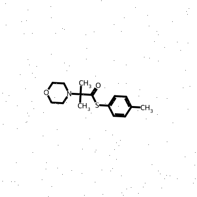 Cc1ccc(SC(=O)C(C)(C)N2CCOCC2)cc1